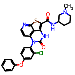 CN1CCCC(NC(=O)c2sc3nccc4c3c2NC(=O)N4c2ccc(Oc3ccccc3)cc2Cl)C1